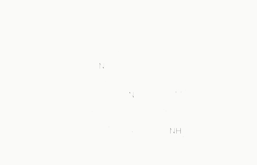 NC(=O)c1[c]ccc(N2CCCC2)n1